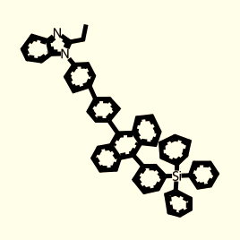 CCc1nc2ccccc2n1-c1ccc(-c2ccc(-c3c4ccccc4c(-c4cccc([Si](c5ccccc5)(c5ccccc5)c5ccccc5)c4)c4ccccc34)cc2)cc1